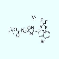 CC(C)(C)OC(=O)NCc1nc(-c2cc3c(Br)cccn3c2SC(F)(F)F)no1.[V]